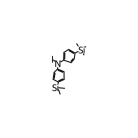 C[Si](C)(C)c1ccc(N(I)c2ccc([Si](C)(C)C)cc2)cc1